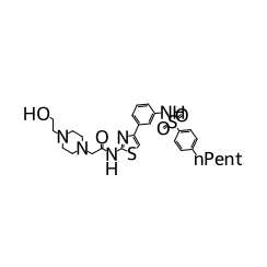 CCCCCc1ccc(S(=O)(=O)Nc2cccc(-c3csc(NC(=O)CN4CCN(CCO)CC4)n3)c2)cc1